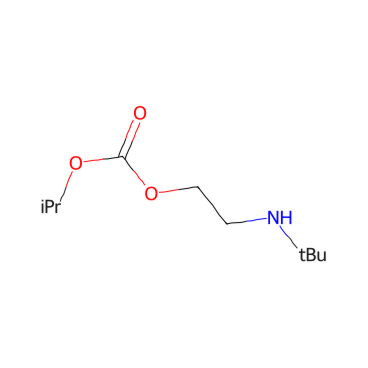 CC(C)OC(=O)OCCNC(C)(C)C